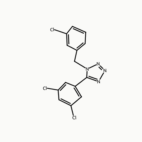 Clc1cccc(Cn2nnnc2-c2cc(Cl)cc(Cl)c2)c1